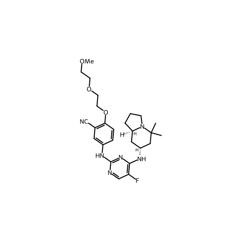 COCCOCCOc1ccc(Nc2ncc(F)c(N[C@@H]3C[C@H]4CCCN4C(C)(C)C3)n2)cc1C#N